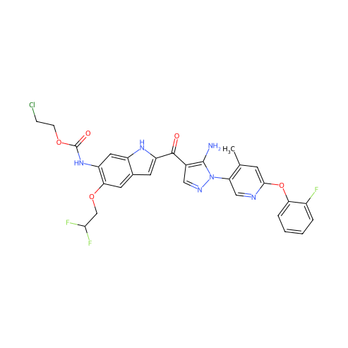 Cc1cc(Oc2ccccc2F)ncc1-n1ncc(C(=O)c2cc3cc(OCC(F)F)c(NC(=O)OCCCl)cc3[nH]2)c1N